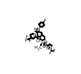 CCN([C@H]1CCC2=Cc3c(cnn3-c3ccc(F)cc3)C[C@]2(C(=O)c2cc(C(F)(F)F)ccn2)C1)S(=O)(=O)c1ccn(C(F)F)n1